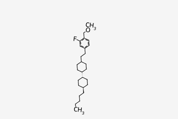 CCCCC[C@H]1CC[C@H](C2CCC(CCc3ccc(COC)c(F)c3)CC2)CC1